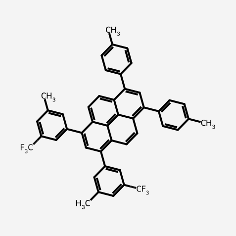 Cc1ccc(-c2cc(-c3ccc(C)cc3)c3ccc4c(-c5cc(C)cc(C(F)(F)F)c5)cc(-c5cc(C)cc(C(F)(F)F)c5)c5ccc2c3c54)cc1